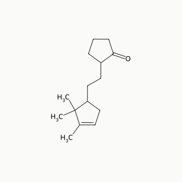 CC1=CCC(CCC2CCCC2=O)C1(C)C